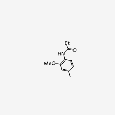 CCC(=O)Nc1ccc(C)cc1OC